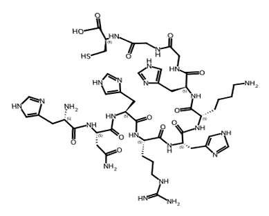 N=C(N)NCCC[C@H](NC(=O)[C@H](Cc1c[nH]cn1)NC(=O)[C@H](CC(N)=O)NC(=O)[C@@H](N)Cc1c[nH]cn1)C(=O)N[C@@H](Cc1c[nH]cn1)C(=O)N[C@@H](CCCCN)C(=O)N[C@@H](Cc1c[nH]cn1)C(=O)NCC(=O)NCC(=O)N[C@@H](CS)C(=O)O